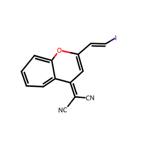 N#CC(C#N)=C1C=C(/C=C/I)Oc2ccccc21